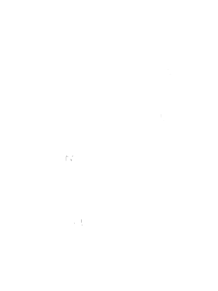 COc1cc(N(C)CCO)ccc1C=O